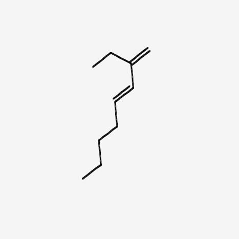 C=C(C=CCCCC)CC